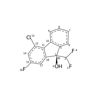 O[C@]1(C(F)F)c2ccccc2-c2c(Cl)cc(F)cc21